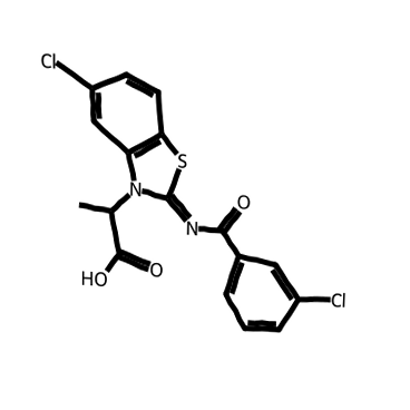 CC(C(=O)O)n1/c(=N/C(=O)c2cccc(Cl)c2)sc2ccc(Cl)cc21